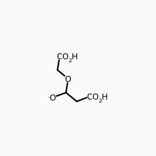 [O]C(CC(=O)O)OCC(=O)O